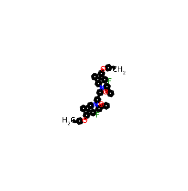 C=Cc1ccc(Oc2ccc(C3(c4ccc(F)cc4)c4ccccc4-c4ccc(N(c5ccc(-c6ccc(N(c7ccc8c(c7)C(c7ccc(F)cc7)(c7ccc(Oc9ccc(C=C)cc9)cc7)c7ccccc7-8)c7cccc8c7oc7ccccc78)cc6)cc5)c5cccc6c5oc5ccccc56)cc43)cc2)cc1